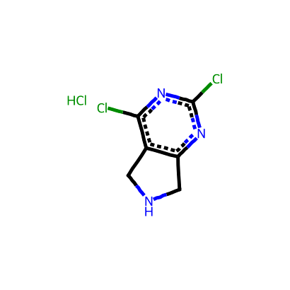 Cl.Clc1nc(Cl)c2c(n1)CNC2